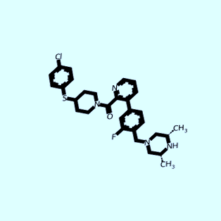 C[C@@H]1CN(Cc2ccc(-c3cccnc3C(=O)N3CCC(Sc4ccc(Cl)cc4)CC3)cc2F)C[C@H](C)N1